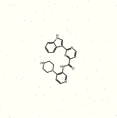 O=C(Nc1cnccc1N1CCNCC1)c1ccnc(-c2c[nH]c3ccccc23)n1